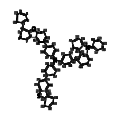 c1ccc(-c2cccc3c2oc2ccc(-c4ccc(N(c5ccc(-c6ccc7sc8ccccc8c7c6)cc5)c5ccc(-c6cccc7c6c6ccccc6n7-c6ccccc6)cc5)cc4)cc23)cc1